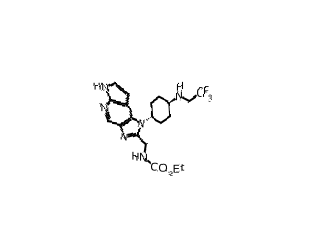 CCOC(=O)NCc1nc2cnc3[nH]ccc3c2n1[C@H]1CC[C@H](NCC(F)(F)F)CC1